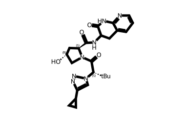 CC(C)(C)[C@@H](C(=O)N1C[C@H](O)C[C@H]1C(=O)NC1Cc2cccnc2NC1=O)n1cc(C2CC2)nn1